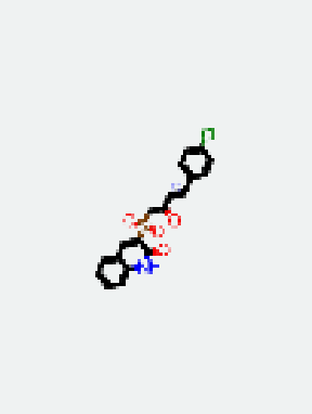 O=C(/C=C/c1ccc(Cl)cc1)CS(=O)(=O)c1cc2ccccc2[nH]c1=O